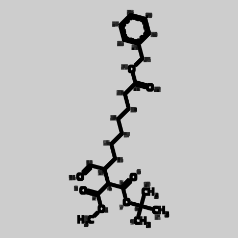 COC(=O)C(C(=O)OC(C)(C)C)C(C=O)CCCCCCC(=O)OCc1ccccc1